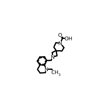 CCN1CCCc2cccc(CN3CC4(CCN(C(=O)O)CC4)C3)c21